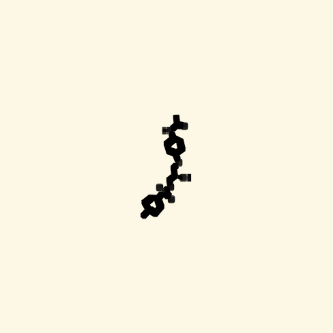 CC(=O)Nc1ccc(OC[C@H](O)COS(=O)(=O)c2ccc(C)cc2)cc1